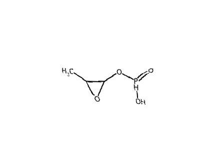 CC1OC1O[PH](=O)O